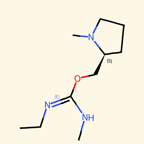 CC/N=C(\NC)OC[C@@H]1CCCN1C